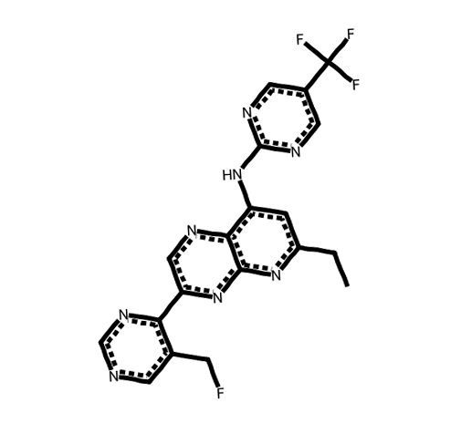 CCc1cc(Nc2ncc(C(F)(F)F)cn2)c2ncc(-c3ncncc3CF)nc2n1